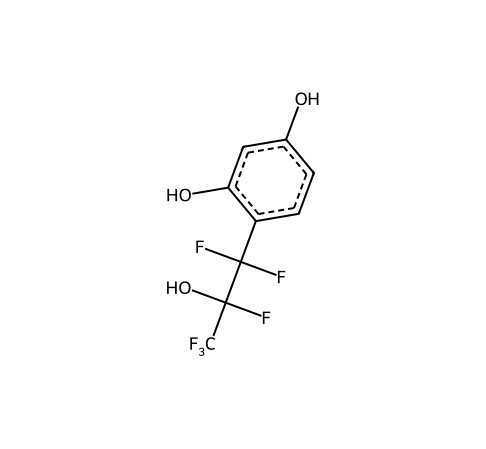 Oc1ccc(C(F)(F)C(O)(F)C(F)(F)F)c(O)c1